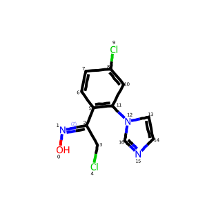 O/N=C(\CCl)c1ccc(Cl)cc1-n1ccnc1